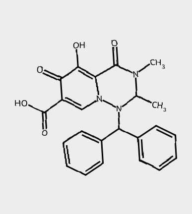 CC1N(C)C(=O)c2c(O)c(=O)c(C(=O)O)cn2N1C(c1ccccc1)c1ccccc1